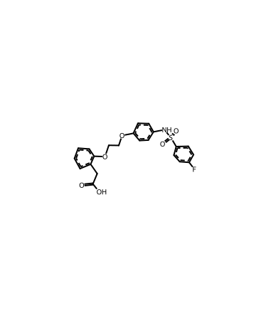 O=C(O)Cc1ccccc1OCCOc1ccc(NS(=O)(=O)c2ccc(F)cc2)cc1